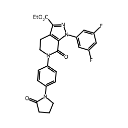 CCOC(=O)c1nn(-c2cc(F)cc(F)c2)c2c1CCN(c1ccc(N3CCCC3=O)cc1)C2=O